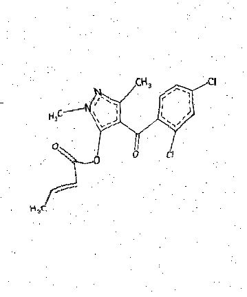 C/C=C/C(=O)Oc1c(C(=O)c2ccc(Cl)cc2Cl)c(C)nn1C